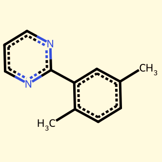 Cc1ccc(C)c(-c2ncccn2)c1